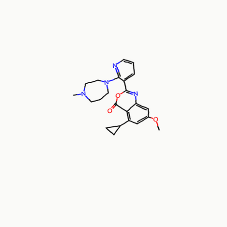 COc1cc(C2CC2)c2c(=O)oc(-c3cccnc3N3CCCN(C)CC3)nc2c1